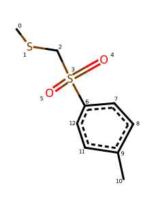 CSCS(=O)(=O)c1ccc(C)cc1